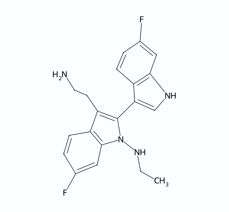 CCNn1c(-c2c[nH]c3cc(F)ccc23)c(CCN)c2ccc(F)cc21